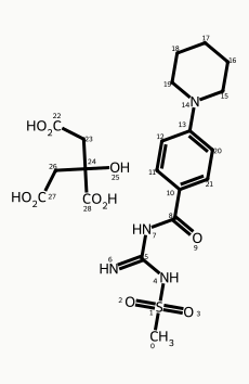 CS(=O)(=O)NC(=N)NC(=O)c1ccc(N2CCCCC2)cc1.O=C(O)CC(O)(CC(=O)O)C(=O)O